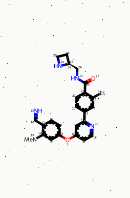 CCc1cc(-c2cc(Oc3ccc(C=N)c(NC)c3)ccn2)ccc1C(=O)NC[C@@H]1CCN1